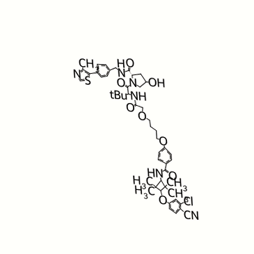 Cc1ncsc1-c1ccc(CNC(=O)[C@@H]2C[C@@H](O)CN2C(=O)[C@@H](NC(=O)COCCCCOc2ccc(C(=O)NC3C(C)(C)C(Oc4ccc(C#N)c(Cl)c4)C3(C)C)cc2)C(C)(C)C)cc1